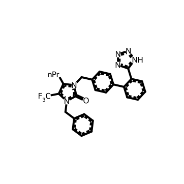 CCCc1c(C(F)(F)F)n(Cc2ccccc2)c(=O)n1Cc1ccc(-c2ccccc2-c2nnn[nH]2)cc1